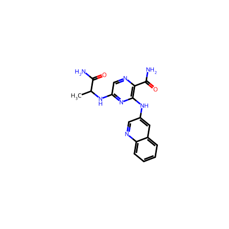 CC(Nc1cnc(C(N)=O)c(Nc2cnc3ccccc3c2)n1)C(N)=O